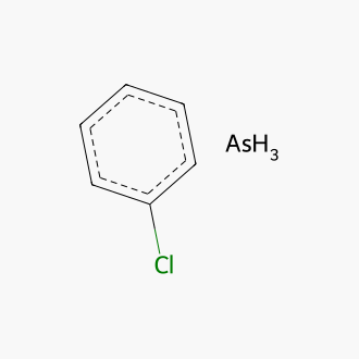 Clc1ccccc1.[AsH3]